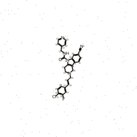 N#Cc1ccc2c3c(n(C(=O)NCc4ccncc4)c2c1)CCN(C/C=C/c1ccc(Cl)c(F)c1)C3